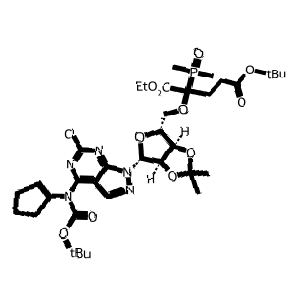 CCOC(=O)C(CCC(=O)OC(C)(C)C)(OC[C@H]1O[C@@H](n2ncc3c(N(C(=O)OC(C)(C)C)C4CCCC4)nc(Cl)nc32)[C@@H]2OC(C)(C)O[C@@H]21)P(C)(C)=O